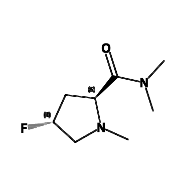 CN(C)C(=O)[C@@H]1C[C@@H](F)CN1C